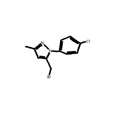 Cc1cc(CBr)n(-c2ccc(Cl)cc2)n1